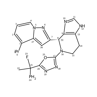 CC(C)c1cccn2nc([C@@H]3c4nc[nH]c4CCN3c3nnc(C(C)(F)P)o3)cc12